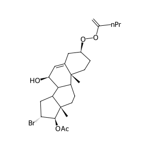 C=C(CCC)OO[C@H]1CC[C@@]2(C)C(=C[C@H](O)C3C2CC[C@@]2(C)C3C[C@@H](Br)[C@@H]2OC(C)=O)C1